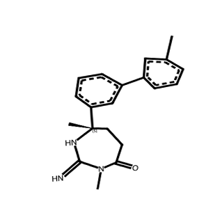 Cc1cccc(-c2cccc([C@]3(C)CCC(=O)N(C)C(=N)N3)c2)c1